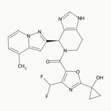 Cc1cccn2nc([C@H]3c4nc[nH]c4CCN3C(=O)c3oc(C4(O)CC4)nc3C(F)F)cc12